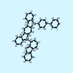 c1ccc(-c2ccc(-n3c4ccccc4c4cc5c6ccccc6n(-c6cccc7c6sc6ccccc67)c5cc43)cc2)cc1